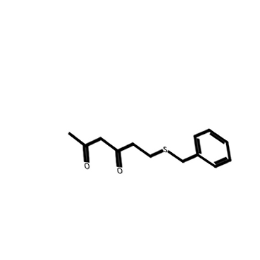 CC(=O)CC(=O)CCSCc1ccccc1